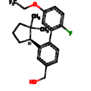 CC1(C)CCC[C@@H]1c1cc(CO)ccc1-c1cc(OCC(F)(F)F)ccc1F